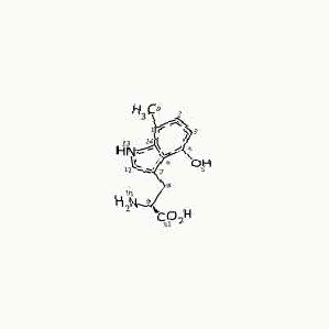 Cc1ccc(O)c2c(C[C@H](N)C(=O)O)c[nH]c12